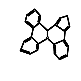 C1=C2C(=CC1)C1c3ccccc3-c3ccccc3N1c1ccccc12